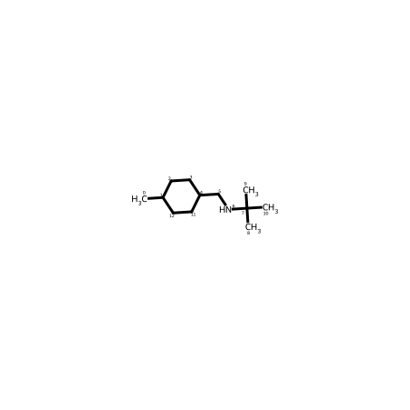 CC1CCC(CNC(C)(C)C)CC1